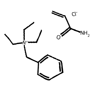 C=CC(N)=O.CC[N+](CC)(CC)Cc1ccccc1.[Cl-]